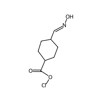 O=C(OCl)C1CCC(/C=N/O)CC1